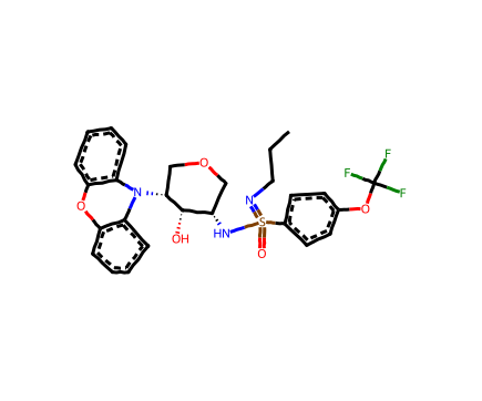 CCCN=S(=O)(N[C@H]1COC[C@@H](N2c3ccccc3Oc3ccccc32)[C@H]1O)c1ccc(OC(F)(F)F)cc1